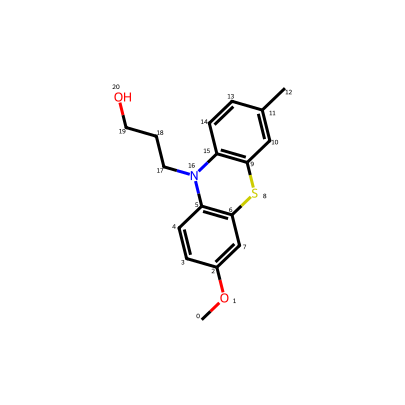 COc1ccc2c(c1)Sc1cc(C)ccc1N2CCCO